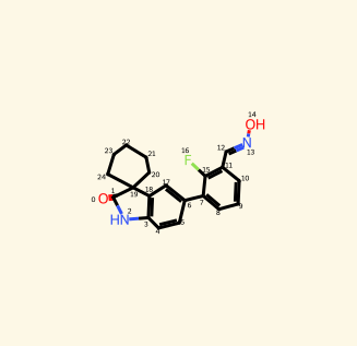 O=C1Nc2ccc(-c3cccc(/C=N/O)c3F)cc2C12CCCCC2